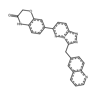 O=C1COc2cc(-c3ccc4nnc(Cc5ccc6ncccc6c5)n4n3)ccc2N1